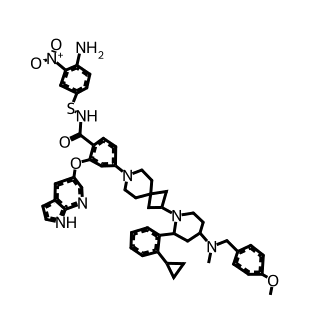 COc1ccc(CN(C)C2CCN(C3CC4(CCN(c5ccc(C(=O)NSc6ccc(N)c([N+](=O)[O-])c6)c(Oc6cnc7[nH]ccc7c6)c5)CC4)C3)C(c3ccccc3C3CC3)C2)cc1